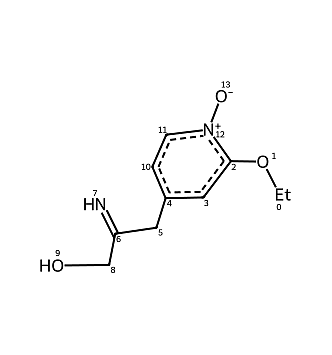 CCOc1cc(CC(=N)CO)cc[n+]1[O-]